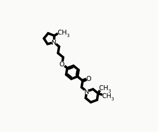 CC1CCCN1CCCOc1ccc(C(=O)CN2CCCC(C)(C)C2)cc1